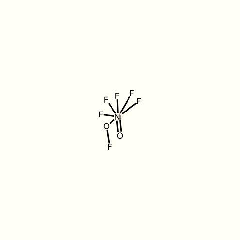 [O]=[Ni]([F])([F])([F])([F])([F])[O]F